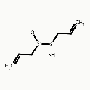 C=CCS[S+]([O-])CC=C.[KH]